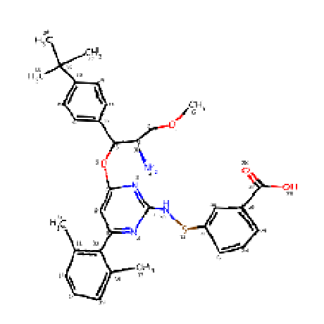 COC[C@@H](N)C(Oc1cc(-c2c(C)cccc2C)nc(NSc2cccc(C(=O)O)c2)n1)c1ccc(C(C)(C)C)cc1